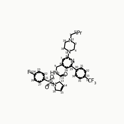 CC(C)CN1CCN(c2cc(CNC(=O)[C@@H]3C=CCN3S(=O)(=O)c3ccc(F)cc3)cc(-c3ccc(C(F)(F)F)cc3)n2)CC1